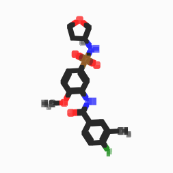 COc1ccc(S(=O)(=O)N[C@H]2CCOC2)cc1NC(=O)c1ccc(F)c(C)c1